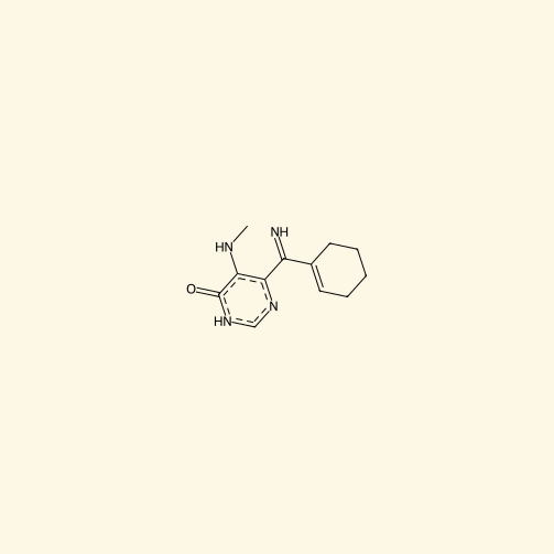 CNc1c(C(=N)C2=CCCCC2)nc[nH]c1=O